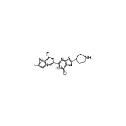 Cc1cn2cc(-c3nc4sc(C5CCNCC5)cc4c(=O)[nH]3)cc(F)c2n1